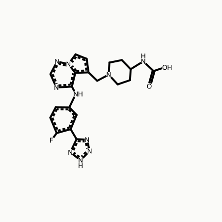 O=C(O)NC1CCN(Cc2ccn3ncnc(Nc4ccc(F)c(-c5nn[nH]n5)c4)c23)CC1